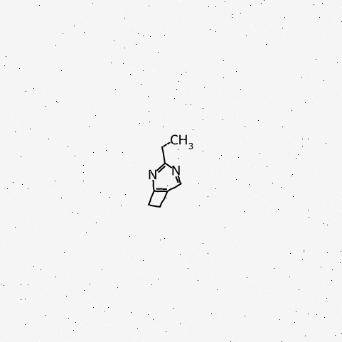 CCc1ncc2c(n1)CC2